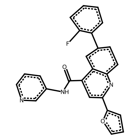 O=C(Nc1cccnc1)c1cc(-c2ccco2)nc2ccc(-c3ccccc3F)cc12